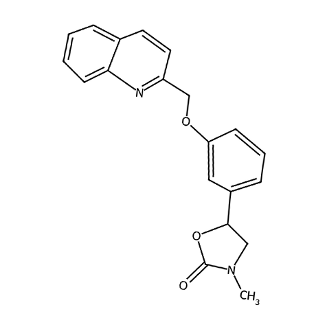 CN1CC(c2cccc(OCc3ccc4ccccc4n3)c2)OC1=O